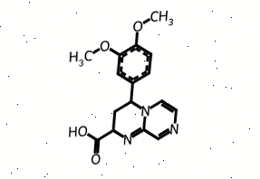 COc1ccc(C2CC(C(=O)O)N=C3C=NC=CN32)cc1OC